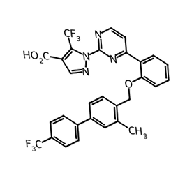 Cc1cc(-c2ccc(C(F)(F)F)cc2)ccc1COc1ccccc1-c1ccnc(-n2ncc(C(=O)O)c2C(F)(F)F)n1